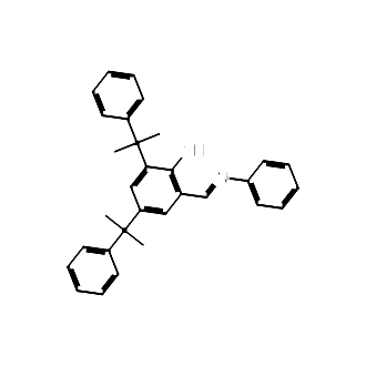 CC(C)(c1ccccc1)c1cc(/C=N/c2ccccc2)c(S)c(C(C)(C)c2ccccc2)c1